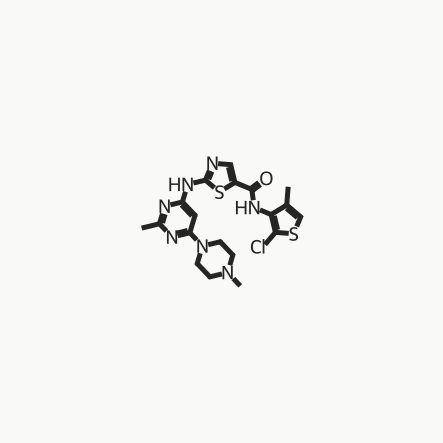 Cc1nc(Nc2ncc(C(=O)Nc3c(C)csc3Cl)s2)cc(N2CCN(C)CC2)n1